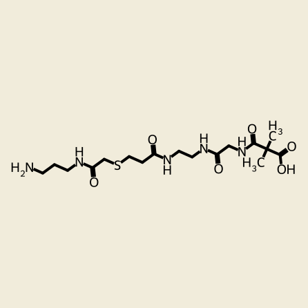 CC(C)(C(=O)O)C(=O)NCC(=O)NCCNC(=O)CCSCC(=O)NCCCN